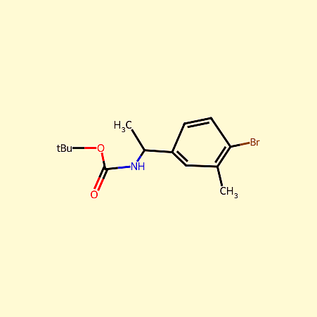 Cc1cc(C(C)NC(=O)OC(C)(C)C)ccc1Br